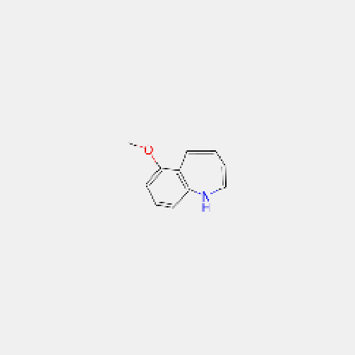 COc1cccc2c1C=CC=CN2